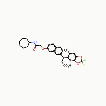 Cc1cc2c(cc1C(CC(=O)O)c1ccc3ccc(OCC(=O)NC4CCCCCC4)cc3c1)OC(F)(F)O2